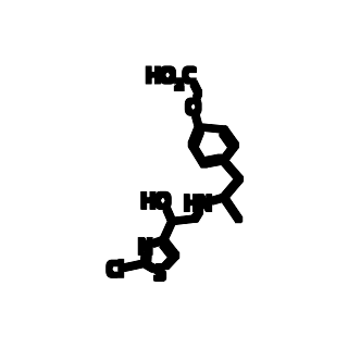 CC(Cc1ccc(OCC(=O)O)cc1)NCC(O)c1csc(Cl)n1